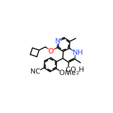 COc1cc(C#N)ccc1C1C(C(=O)O)=C(C)Nc2c(C)cnc(OCC3CCC3)c21